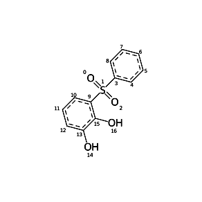 O=S(=O)(c1ccccc1)c1cccc(O)c1O